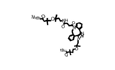 CNC(=O)CC(C)(C)COC(C)(C)CCNC(=O)CCC(=O)N1Cc2ccccc2-c2c(nnn2CCC(C)(C)OCCC(C)(C)C(=O)C(C)(C)C)-c2ccccc21